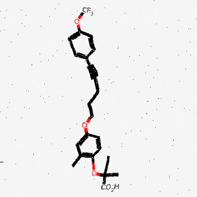 Cc1cc(OCCCC#Cc2ccc(OC(F)(F)F)cc2)ccc1OC(C)(C)C(=O)O